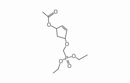 CCOP(=O)(COC1C=CC(OC(C)=O)C1)OCC